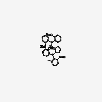 COc1ccccc1P(C1=C([C@@H](C)P(c2ccccc2OC)c2ccccc2OC)CC=C1)c1c(C)cccc1OC